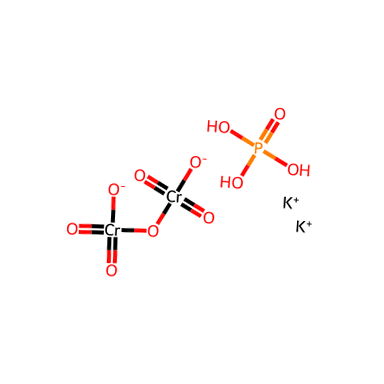 O=P(O)(O)O.[K+].[K+].[O]=[Cr](=[O])([O-])[O][Cr](=[O])(=[O])[O-]